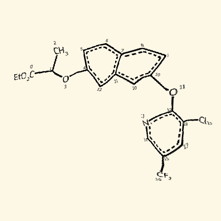 CCOC(=O)C(C)Oc1ccc2ccc(Oc3ncc(C(F)(F)F)cc3Cl)cc2c1